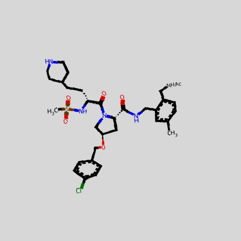 CC(=O)NCc1ccc(C)cc1CNC(=O)[C@@H]1C[C@@H](OCc2ccc(Cl)cc2)CN1C(=O)[C@@H](CCC1CCNCC1)NS(C)(=O)=O